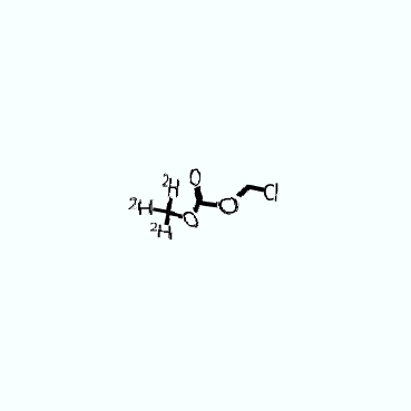 [2H]C([2H])([2H])OC(=O)OCCl